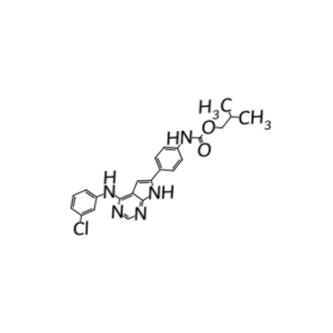 CC(C)COC(=O)Nc1ccc(-c2cc3c(Nc4cccc(Cl)c4)ncnc3[nH]2)cc1